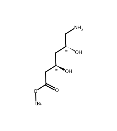 CC(C)(C)OC(=O)C[C@H](O)C[C@@H](O)CN